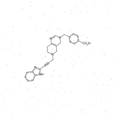 O=C(O)c1ccc(CN2C=NC3=C(C2)CN(CC#Cc2nc4ccccc4[nH]2)CC3)cc1